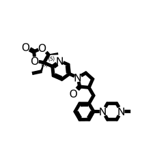 CC[C@@]1(c2ccc(N3CCC(Cc4ccccc4N4CCN(C)CC4)C3=O)cn2)OC(=O)O[C@H]1C